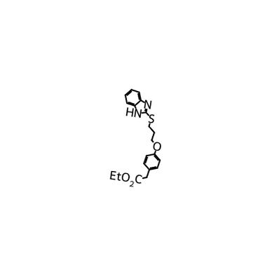 CCOC(=O)Cc1ccc(OCCCSc2nc3ccccc3[nH]2)cc1